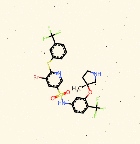 C[C@@]1(Oc2cc(NS(=O)(=O)c3cnc(Sc4cccc(C(F)(F)F)c4)c(Br)c3)ccc2C(F)(F)F)CCNC1